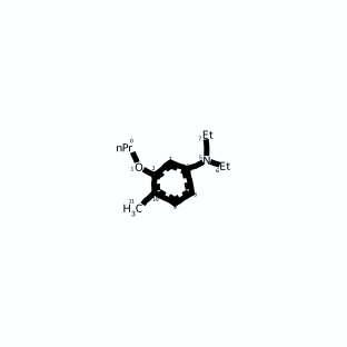 CCCOc1cc(N(CC)CC)ccc1C